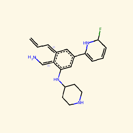 C=C/C=c1/cc(C2=CC=CC(F)N2)cc(NC2CCNCC2)/c1=C/N